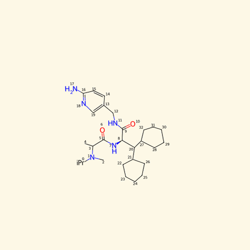 CC(C)N(C)C(C)C(=O)N[C@@H](C(=O)NCc1ccc(N)nc1)C(C1CCCCC1)C1CCCCC1